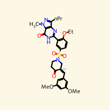 CCCc1nn(C)c2c(=O)[nH]c(-c3cc(S(=O)(=O)N4CCC(=O)/C(=C\c5cc(OC)cc(OC)c5)C4)ccc3OCC)nc12